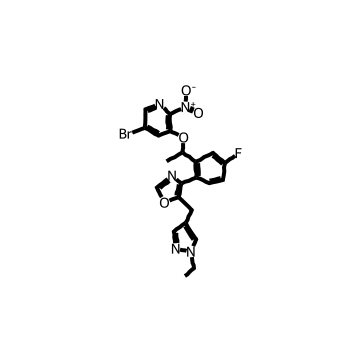 CCn1cc(Cc2ocnc2-c2ccc(F)cc2C(C)Oc2cc(Br)cnc2[N+](=O)[O-])cn1